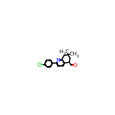 CC1(C)Cc2nc(-c3ccc(Cl)cc3)ccc2C(C=O)C1